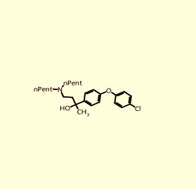 CCCCCN(CCCCC)CCC(C)(O)c1ccc(Oc2ccc(Cl)cc2)cc1